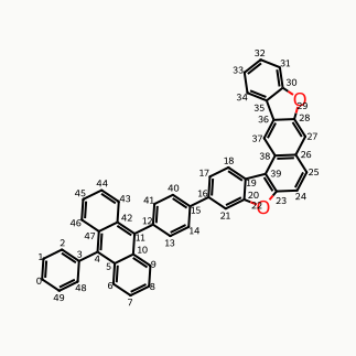 c1ccc(-c2c3ccccc3c(-c3ccc(-c4ccc5c(c4)oc4ccc6cc7oc8ccccc8c7cc6c45)cc3)c3ccccc23)cc1